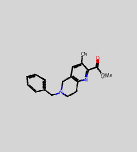 COC(=O)c1nc2c(cc1C#N)CN(Cc1ccccc1)CC2